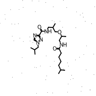 CC(C)CCCCC(=O)NCC(C)OCC(C)CNC(=O)c1ncn(CC(C)C)n1